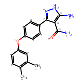 Cc1ccc(Oc2ccc(-c3n[nH]c(N)c3C(N)=O)cc2)cc1C